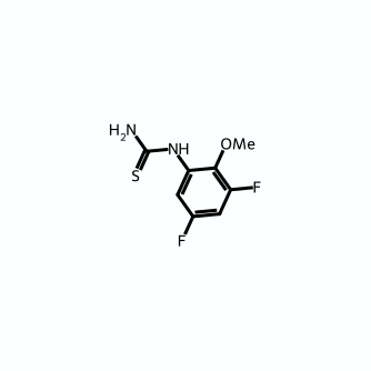 COc1c(F)cc(F)cc1NC(N)=S